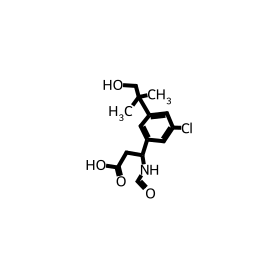 CC(C)(CO)c1cc(Cl)cc(C(CC(=O)O)NC=O)c1